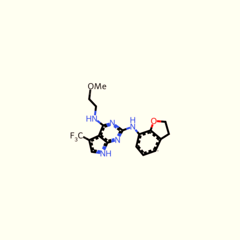 COCCNc1nc(Nc2cc[c]c3c2OCC3)nc2[nH]cc(C(F)(F)F)c12